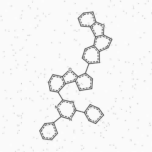 c1ccc(-c2nc(-c3ccccc3)nc(-c3cccc4oc5c(-c6ccc7c(ccc8sc9ccccc9c87)c6)cccc5c34)n2)cc1